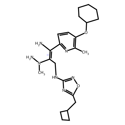 Cc1nc(/C(N)=C(\CNc2noc(CC3CCC3)n2)N(C)N)ccc1OC1CCCCC1